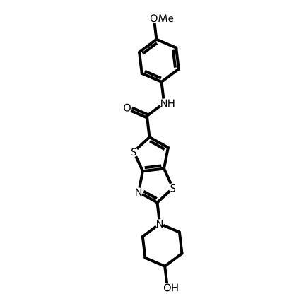 COc1ccc(NC(=O)c2cc3sc(N4CCC(O)CC4)nc3s2)cc1